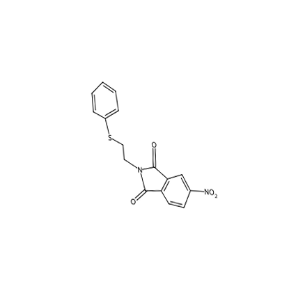 O=C1c2ccc([N+](=O)[O-])cc2C(=O)N1CCSc1ccccc1